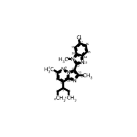 CCC(CC)c1cc(C)nn2c(-c3nc4ccc(Cl)cc4n3C)c(C)nc12